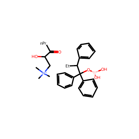 CCC(c1ccccc1)C(OB(O)O)(c1ccccc1)c1ccccc1.CCCC(=O)C(O)C[N+](C)(C)C